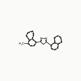 Cc1ccc(C2=NN=C(c3cccc4ccccc34)C2)c2ccccc12